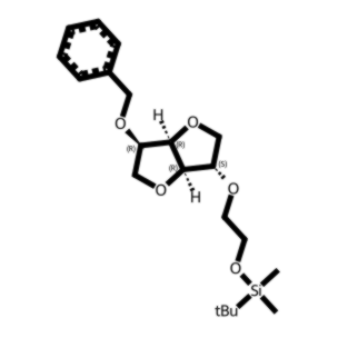 CC(C)(C)[Si](C)(C)OCCO[C@H]1CO[C@H]2[C@@H]1OC[C@H]2OCc1ccccc1